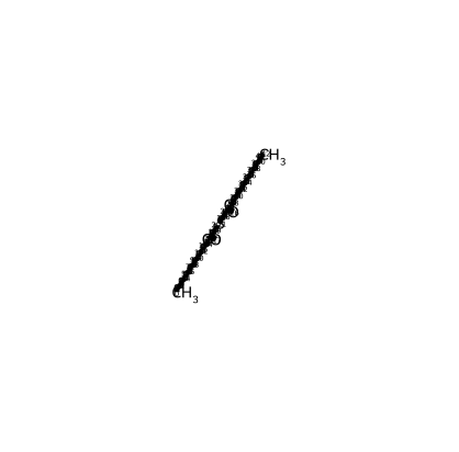 CCCCCCCCCCCCCCCOC(=O)CCCSCCCC(=O)OCCCCCCCCCCCCCCC